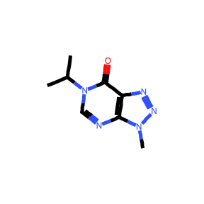 CC(C)n1cnc2c(nnn2C)c1=O